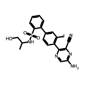 CC(CO)NS(=O)(=O)c1ccccc1-c1ccc(-c2ncc(N)nc2C#N)c(F)c1